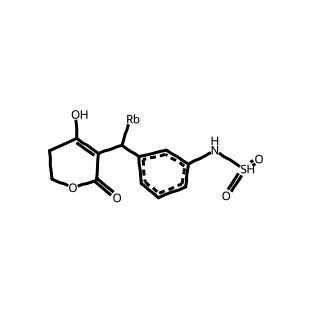 O=C1OCCC(O)=C1[CH]([Rb])c1cccc(N[SH](=O)=O)c1